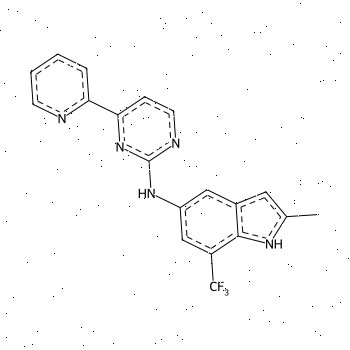 Cc1cc2cc(Nc3nccc(-c4ccccn4)n3)cc(C(F)(F)F)c2[nH]1